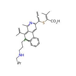 C=C=C(SC(C(=O)O)=C(C)C)C(C)\C=C(C(/C(C)=N\C)=C(/C(=C)C)C(=C)CCCNCC(C)C)\c1ccccc1F